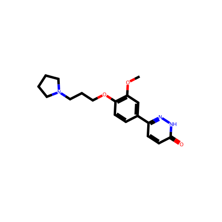 COc1cc(-c2ccc(=O)[nH]n2)ccc1OCCCN1CCCC1